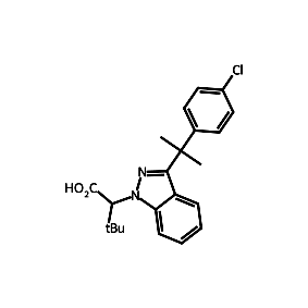 CC(C)(c1ccc(Cl)cc1)c1nn(C(C(=O)O)C(C)(C)C)c2ccccc12